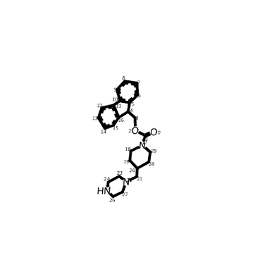 O=C(OCC1c2ccccc2-c2ccccc21)N1CCC(CN2CCNCC2)CC1